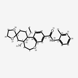 CC[C@@]12CCC3(C[C@@H]1CCOc1cc(C(=O)Nc4cccnc4C)ccc12)OCCO3